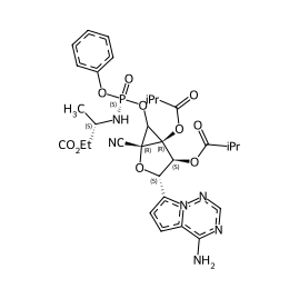 CCOC(=O)[C@H](C)N[P@@](=O)(Oc1ccccc1)OC1[C@@]2(C#N)O[C@@H](c3ccc4c(N)ncnn34)[C@H](OC(=O)C(C)C)[C@@]12OC(=O)C(C)C